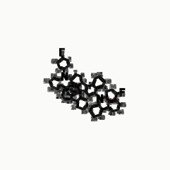 Fc1ccc(N(c2ccc3c(c2)C2(c4ccccc4-c4ccccc42)c2cc(N(c4ccc(F)cc4)c4ccccc4-c4ccccc4)c4ccccc4c2-3)c2ccccc2-c2ccccc2)cc1